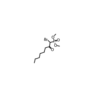 CCCCCCC(=O)C(Br)P(=O)(OC)OC